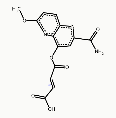 COc1ccc2nc(C(N)=O)cc(OC(=O)/C=C/C(=O)O)c2n1